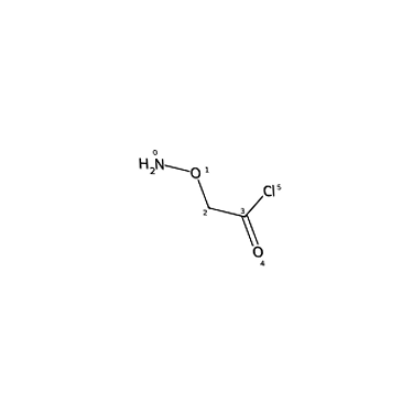 NOCC(=O)Cl